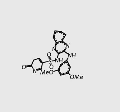 COc1cc(Nc2nc3ccccc3nc2NS(=O)(=O)C2=CCC(=O)N=C2)cc(OC)c1